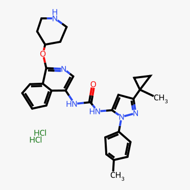 Cc1ccc(-n2nc(C3(C)CC3)cc2NC(=O)Nc2cnc(OC3CCNCC3)c3ccccc23)cc1.Cl.Cl